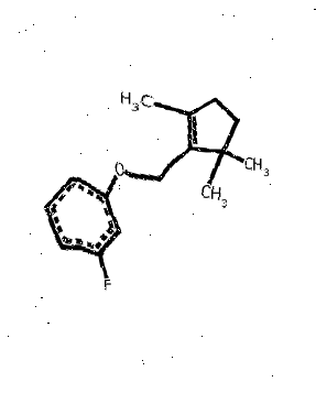 CC1=C(COc2cccc(F)c2)C(C)(C)CC1